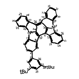 CC(C)(C)c1cc(-c2ccc3c(c2)c2c4c5ccccc5n5c6ccccc6c(c6c7ccccc7n3c62)c45)cc(C(C)(C)C)c1